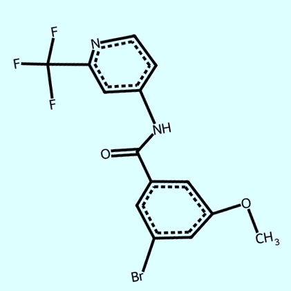 COc1cc(Br)cc(C(=O)Nc2ccnc(C(F)(F)F)c2)c1